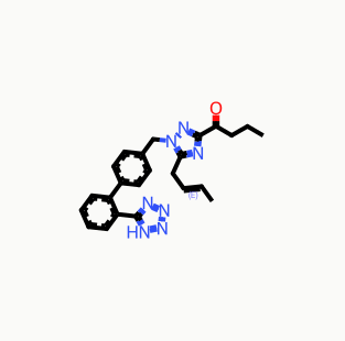 C/C=C/Cc1nc(C(=O)CCC)nn1Cc1ccc(-c2ccccc2-c2nnn[nH]2)cc1